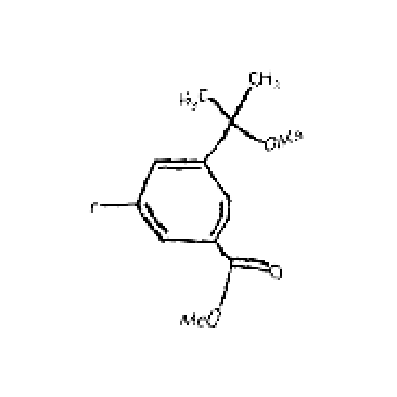 COC(=O)c1cc(F)cc(C(C)(C)OC)c1